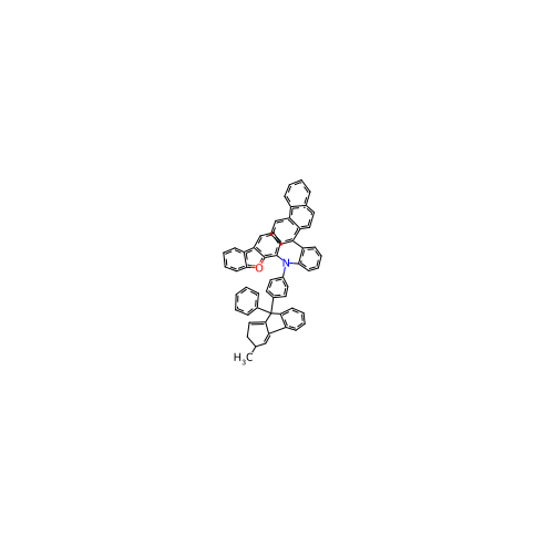 CC1C=C2C(=CC1)C(c1ccccc1)(c1ccc(N(c3ccccc3-c3cccc4c3ccc3ccccc34)c3cccc4c3oc3ccccc34)cc1)c1ccccc12